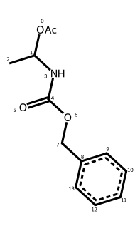 CC(=O)OC(C)NC(=O)OCc1ccccc1